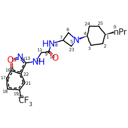 CCC[C@H]1CC[C@@H](N2CC(NC(=O)CNc3noc4ccc(C(F)(F)F)cc34)C2)CC1